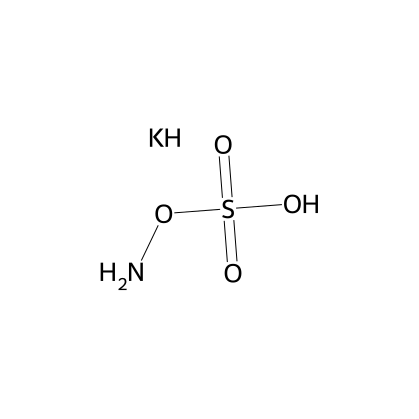 NOS(=O)(=O)O.[KH]